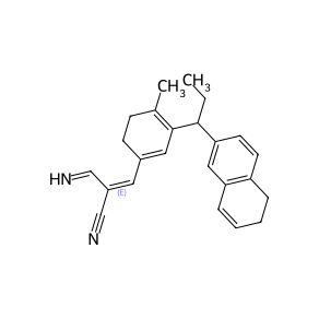 CCC(C1=C(C)CCC(/C=C(/C#N)C=N)=C1)c1ccc2c(c1)C=CCC2